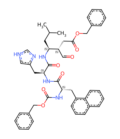 CC(C)C[C@H](NC(=O)[C@H](Cc1c[nH]cn1)NC(=O)[C@H](Cc1cccc2ccccc12)NC(=O)OCc1ccccc1)[C@@H](C=O)CC(=O)OCc1ccccc1